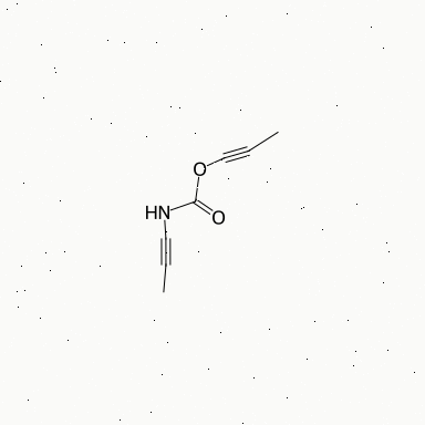 CC#CNC(=O)OC#CC